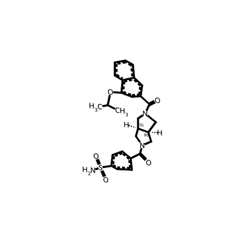 CC(C)Oc1cc(C(=O)N2C[C@H]3CN(C(=O)c4ccc(S(N)(=O)=O)cc4)C[C@H]3C2)cc2ccccc12